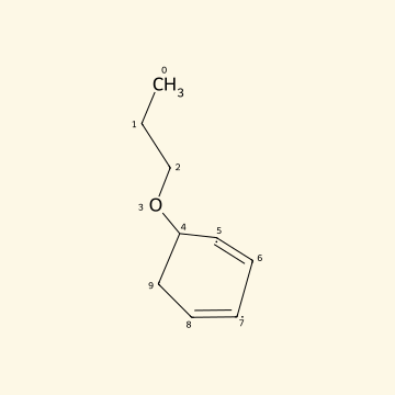 CCCOC1[C]=C[C]=CC1